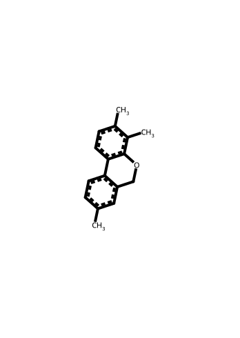 Cc1ccc2c(c1)COc1c-2ccc(C)c1C